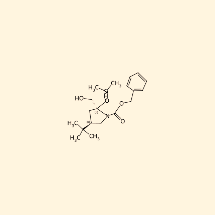 C[SiH](C)O[C@]1(CO)C[C@H](C(C)(C)C)CN1C(=O)OCc1ccccc1